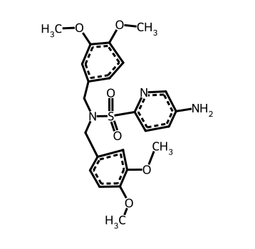 COc1ccc(CN(Cc2ccc(OC)c(OC)c2)S(=O)(=O)c2ccc(N)cn2)cc1OC